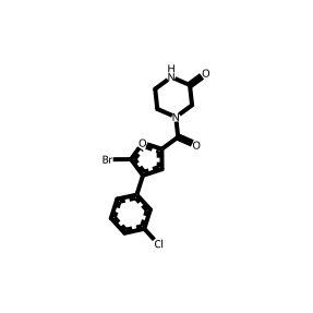 O=C1CN(C(=O)c2cc(-c3cccc(Cl)c3)c(Br)o2)CCN1